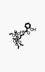 CCOP(=O)(OCC)OCC(CNC(=O)c1ccccc1O)OP(=O)(OCC)OCC